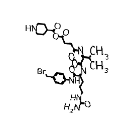 CC(C)C(=NC(=O)CCC(=O)OC(=O)C1CCNCC1)C(=O)N=C(CCCNC(N)=O)C(=O)Nc1ccc(CBr)cc1